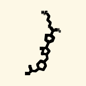 CCCCN=C(N)c1ccc(C2CC(CC3=CCN(CC(=O)O)CC3)ON2)cc1